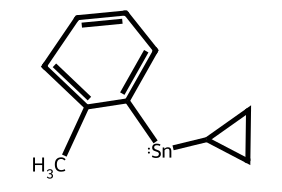 Cc1cccc[c]1[Sn][CH]1CC1